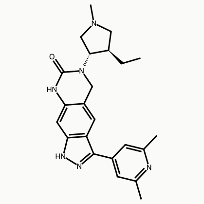 CC[C@@H]1CN(C)C[C@H]1N1Cc2cc3c(-c4cc(C)nc(C)c4)n[nH]c3cc2NC1=O